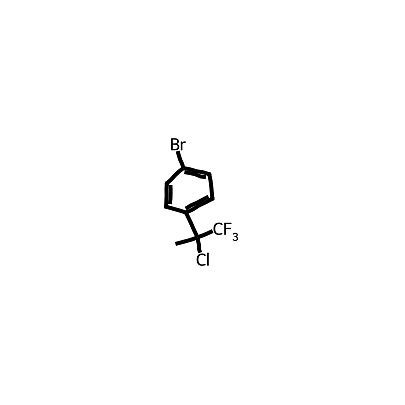 CC(Cl)(c1ccc(Br)cc1)C(F)(F)F